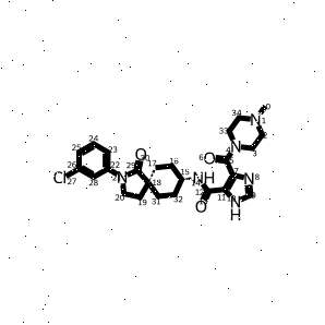 CN1CCN(C(=O)c2nc[nH]c2C(=O)N[C@H]2CC[C@@]3(CCN(c4cccc(Cl)c4)C3=O)CC2)CC1